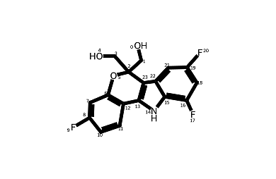 OCC1(CO)Oc2cc(F)ccc2-c2[nH]c3c(F)cc(F)cc3c21